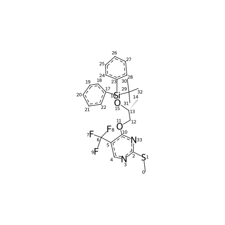 CSc1ncc(C(F)(F)F)c(OC[C@@H](C)O[Si](c2ccccc2)(c2ccccc2)C(C)(C)C)n1